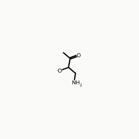 CC(=O)C([O])CN